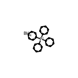 [BH4-].c1ccc([P+](c2ccccc2)(c2ccccc2)c2ccccc2)cc1